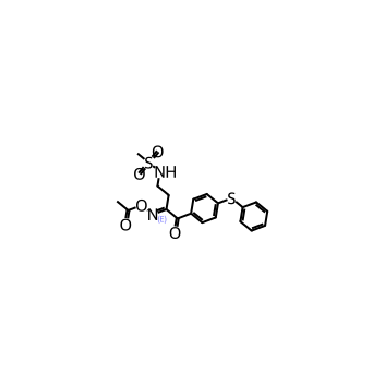 CC(=O)O/N=C(\CCNS(C)(=O)=O)C(=O)c1ccc(Sc2ccccc2)cc1